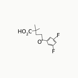 CC(C)(CCC(=O)c1cc(F)cc(F)c1)C(=O)O